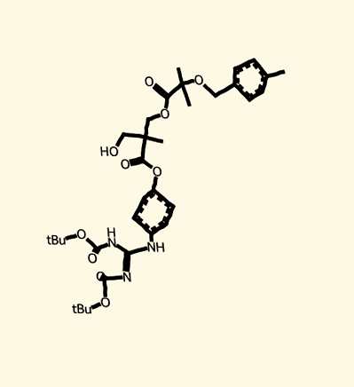 Cc1ccc(COC(C)(C)C(=O)OCC(C)(CO)C(=O)Oc2ccc(N/C(=N/C(=O)OC(C)(C)C)NC(=O)OC(C)(C)C)cc2)cc1